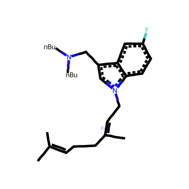 CCCCN(CCCC)Cc1cn(C/C=C(\C)CCC=C(C)C)c2ccc(F)cc12